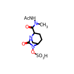 CC(=O)NN(C)C(=O)C1CCC2CN1C(=O)N2OS(=O)(=O)O